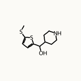 CSc1ccc(C(O)C2CCNCC2)s1